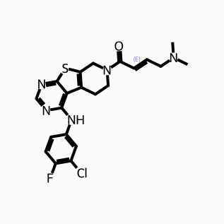 CN(C)C/C=C/C(=O)N1CCc2c(sc3ncnc(Nc4ccc(F)c(Cl)c4)c23)C1